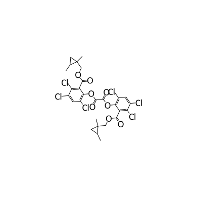 CC1CC1(C)COC(=O)c1c(Cl)c(Cl)cc(Cl)c1OC(=O)C(=O)Oc1c(Cl)cc(Cl)c(Cl)c1C(=O)OCC1(C)CC1C